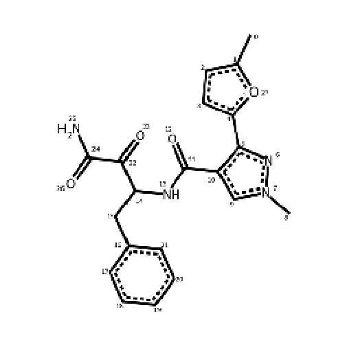 Cc1ccc(-c2nn(C)cc2C(=O)NC(Cc2ccccc2)C(=O)C(N)=O)o1